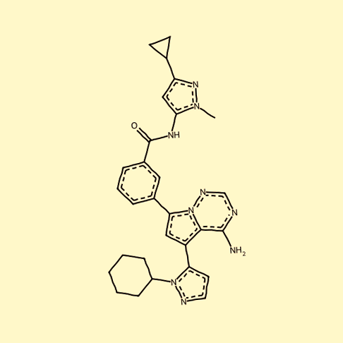 Cn1nc(C2CC2)cc1NC(=O)c1cccc(-c2cc(-c3ccnn3C3CCCCC3)c3c(N)ncnn23)c1